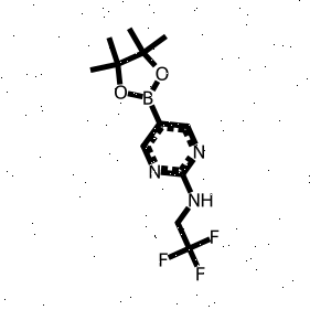 CC1(C)OB(c2cnc(NCC(F)(F)F)nc2)OC1(C)C